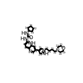 O=C(NC1=CC=C2N=CC(C3=CN(CCCCN4CCOCC4)NC3)=CC2N1)NC1CCCC1